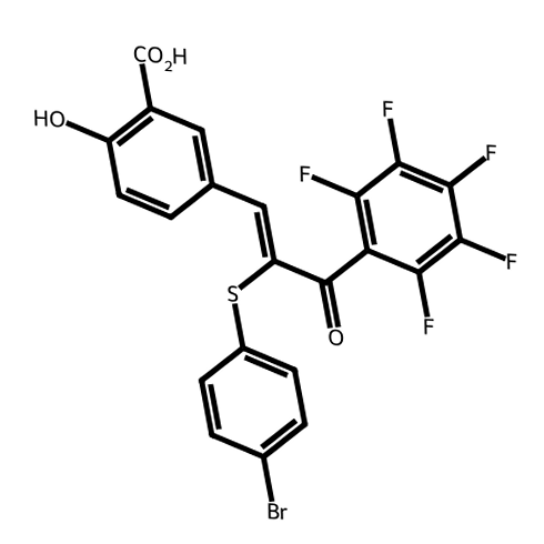 O=C(O)c1cc(C=C(Sc2ccc(Br)cc2)C(=O)c2c(F)c(F)c(F)c(F)c2F)ccc1O